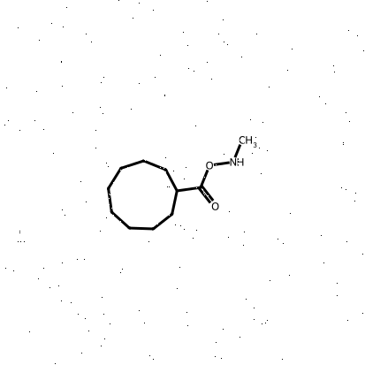 CNOC(=O)C1CCCCCCCC1